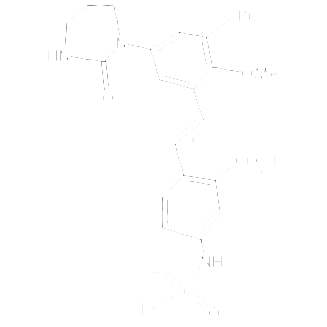 COc1c(/C=C/c2ccc(NS(C)(=O)=O)cc2C(=O)O)cc(N2CCCNC2=O)cc1C(C)(C)C